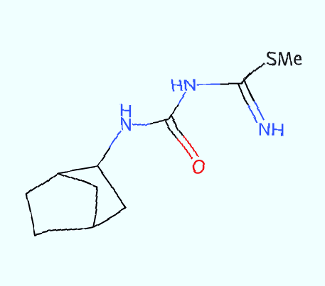 CSC(=N)NC(=O)NC1CC2CCC1C2